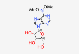 CON(OC)c1ncnc2c1ncn2[C@@H]1O[C@H](CO)C(O)C1O